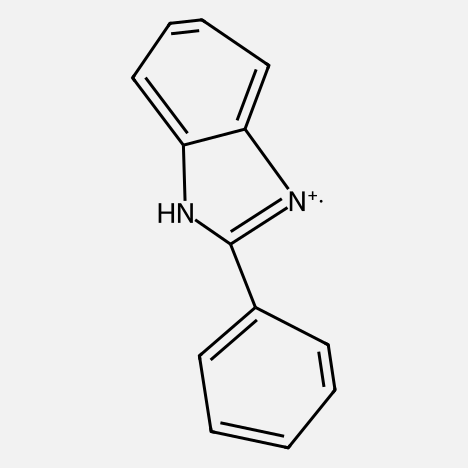 c1ccc(C2=[N+]c3ccccc3N2)cc1